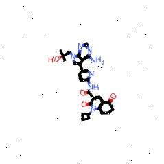 CC(C)(O)Cn1cc(-c2ccc(NC(=O)c3cc4c(n(C5CCC5)c3=O)CCCC4=O)nc2)c2c(N)ncnc21